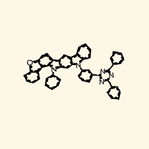 c1ccc(-c2nc(-c3ccccc3)nc(-c3cccc(-n4c5ccccc5c5cc6c7ccc8oc9ccccc9c8c7n(-c7ccccc7)c6cc54)c3)n2)cc1